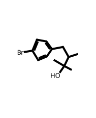 CC(Cc1ccc(Br)cc1)C(C)(C)O